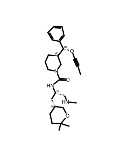 CC#CO[C@@H](c1ccccc1)[C@@H]1CCCN(C(=O)N[C@H](CNC)C[C@H]2CCC(C)(C)OC2)C1